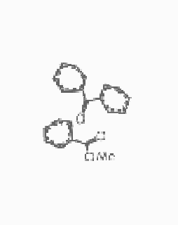 COC(=O)c1ccccc1.O=C(c1ccccc1)c1ccccc1